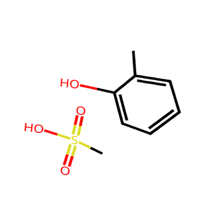 CS(=O)(=O)O.Cc1ccccc1O